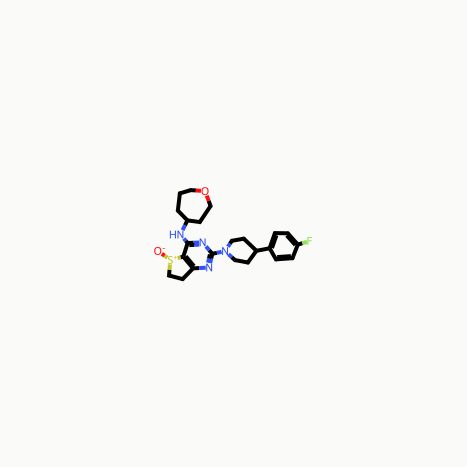 [O-][S+]1CCc2nc(N3CCC(c4ccc(F)cc4)CC3)nc(NC3CCCOCC3)c21